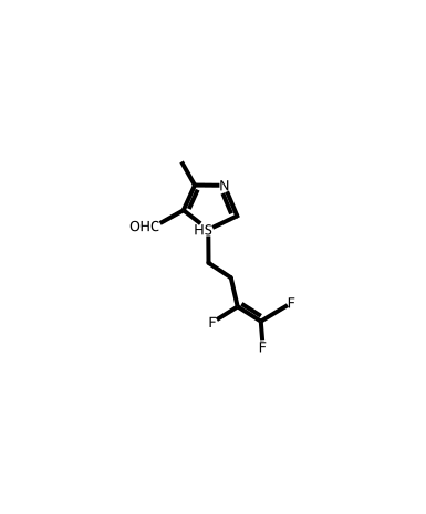 CC1=C(C=O)[SH](CCC(F)=C(F)F)C=N1